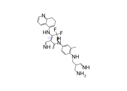 C=C(Nc1ccc(NCC(C=N)CN)c(C)c1)/C(C=N)=C(/NC1=CCCc2ncccc21)C(F)(F)F